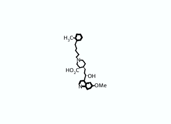 COc1ccc2nccc([C@@H](O)CC[C@@H]3CCN(CCCCCc4ccccc4C)C[C@@H]3C(=O)O)c2c1